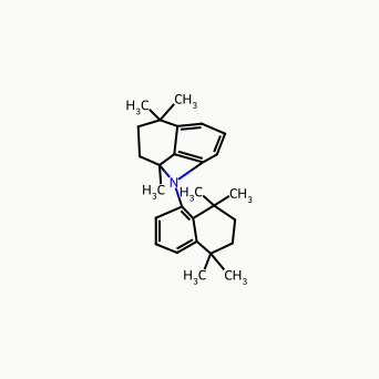 CC1(C)CCC(C)(C)c2c(N3c4cccc5c4C3(C)CCC5(C)C)cccc21